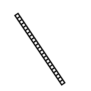 C1CC2C1C1C2C2C1C1C2C2C1C1C2C2C1C1C2C2C1C1C2C2C1C1C3C4C5C6C7C8C9C%10C%11C%12CCC%12C%11C%10C9C8C7C6C5C4C3C21